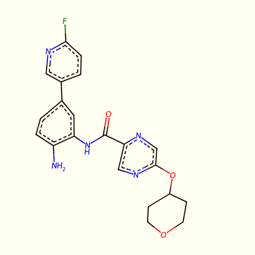 Nc1ccc(-c2ccc(F)nc2)cc1NC(=O)c1cnc(OC2CCOCC2)cn1